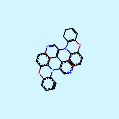 c1ccc2c(c#1)N(c1cnc#cc1C1=C(N3C4=C(C=CCC4)Oc4ccccc43)C=NCC1)c1ccccc1O2